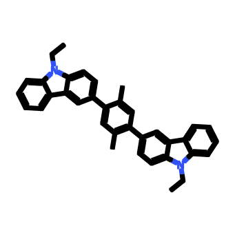 CCn1c2ccccc2c2cc(-c3cc(C)c(-c4ccc5c(c4)c4ccccc4n5CC)cc3C)ccc21